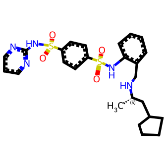 C[C@@H](CC1CCCC1)NCc1ccccc1NS(=O)(=O)c1ccc(S(=O)(=O)Nc2ncccn2)cc1